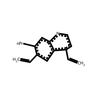 C=Cc1cc2c(C=C)ccnc2cc1CCC